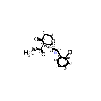 COC(=O)[C@H]1C(=O)CCO[C@@H]1/C=C/c1ccccc1Cl